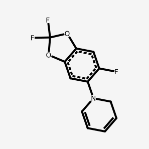 Fc1cc2c(cc1N1C=CC=CC1)OC(F)(F)O2